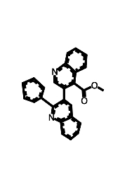 COC(=O)c1c(-c2cc3ccccc3nc2-c2ccccc2)cnc2ccccc12